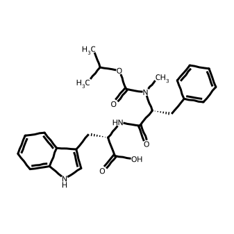 CC(C)OC(=O)N(C)[C@H](Cc1ccccc1)C(=O)N[C@@H](Cc1c[nH]c2ccccc12)C(=O)O